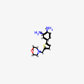 Nc1ccc(-c2ccc(CN3CCOCC3)s2)cc1N